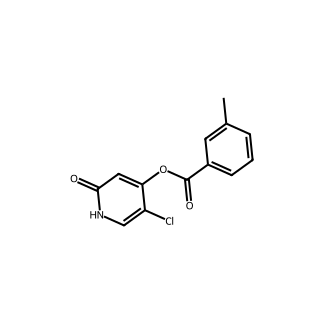 Cc1cccc(C(=O)Oc2cc(=O)[nH]cc2Cl)c1